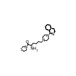 N[C@@H](CCCCN1CCN(c2nccc3ccccc23)CC1)C(=O)N1CCSC1